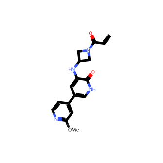 C=CC(=O)N1CC(Nc2cc(-c3ccnc(OC)c3)c[nH]c2=O)C1